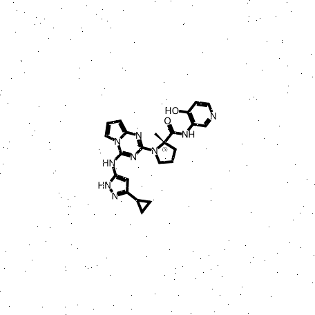 C[C@@]1(C(=O)Nc2cnccc2O)CCCN1c1nc(Nc2cc(C3CC3)n[nH]2)n2cccc2n1